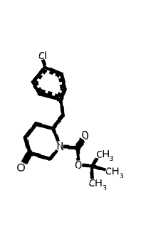 CC(C)(C)OC(=O)N1CC(=O)CCC1Cc1ccc(Cl)cc1